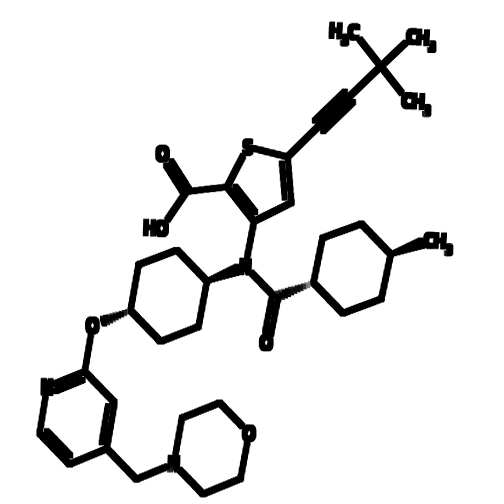 CC(C)(C)C#Cc1cc(N(C(=O)[C@H]2CC[C@H](C)CC2)[C@H]2CC[C@H](Oc3cc(CN4CCOCC4)ccn3)CC2)c(C(=O)O)s1